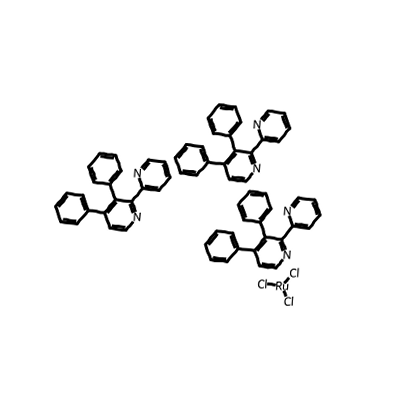 [Cl][Ru]([Cl])[Cl].c1ccc(-c2ccnc(-c3ccccn3)c2-c2ccccc2)cc1.c1ccc(-c2ccnc(-c3ccccn3)c2-c2ccccc2)cc1.c1ccc(-c2ccnc(-c3ccccn3)c2-c2ccccc2)cc1